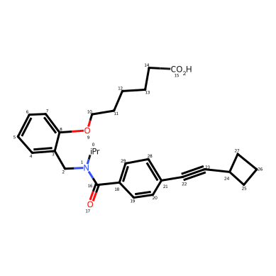 CC(C)N(Cc1ccccc1OCCCCCC(=O)O)C(=O)c1ccc(C#CC2CCC2)cc1